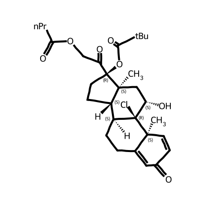 CCCC(=O)OCC(=O)[C@@]1(OC(=O)C(C)(C)C)CC[C@H]2[C@@H]3CCC4=CC(=O)C=C[C@]4(C)[C@@]3(Cl)[C@@H](O)C[C@@]21C